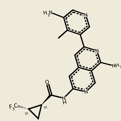 Cc1c(N)cncc1-c1cc2cc(NC(=O)[C@H]3C[C@@H]3C(F)(F)F)ncc2c(N)n1